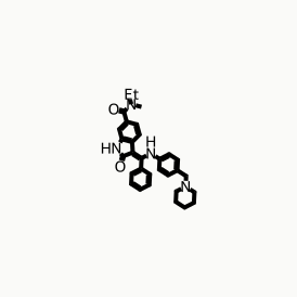 CCN(C)C(=O)c1ccc2c(c1)NC(=O)C2=C(Nc1ccc(CN2CCCCC2)cc1)c1ccccc1